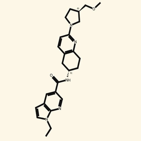 CCn1ccc2cc(C(=O)N[C@H]3CCc4nc(N5CC[C@@H](COC)C5)ccc4C3)cnc21